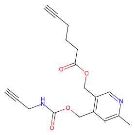 C#CCCCC(=O)OCc1cnc(C)[c]c1COC(=O)NCC#C